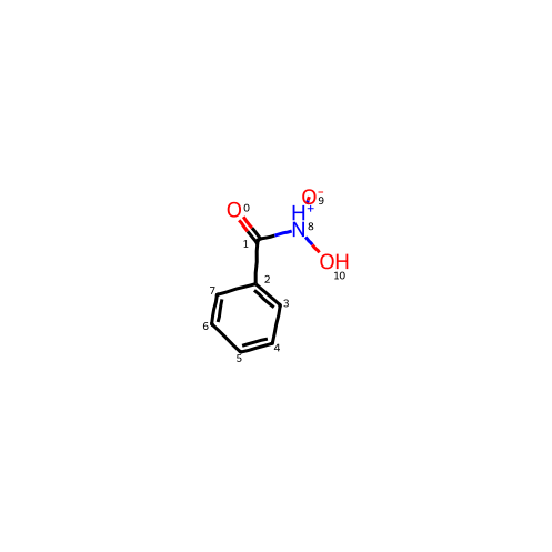 O=C(c1ccccc1)[NH+]([O-])O